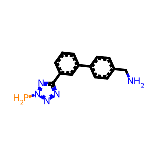 NCc1ccc(-c2cccc(-c3nnn(P)n3)c2)cc1